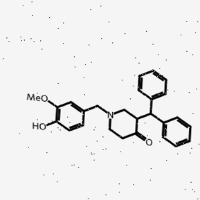 COc1cc(CN2CCC(=O)C(C(c3ccccc3)c3ccccc3)C2)ccc1O